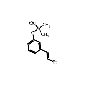 CCC=Cc1cccc(O[Si](C)(C)C(C)(C)C)c1